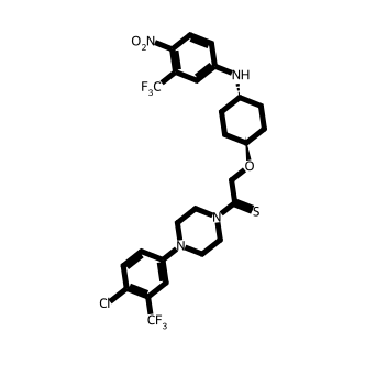 O=[N+]([O-])c1ccc(N[C@H]2CC[C@H](OCC(=S)N3CCN(c4ccc(Cl)c(C(F)(F)F)c4)CC3)CC2)cc1C(F)(F)F